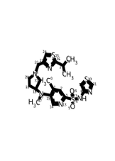 Cc1cc(S(=O)(=O)Nc2cscn2)ncc1N(C)C1CCN(Cc2csc(C(C)C)n2)C1